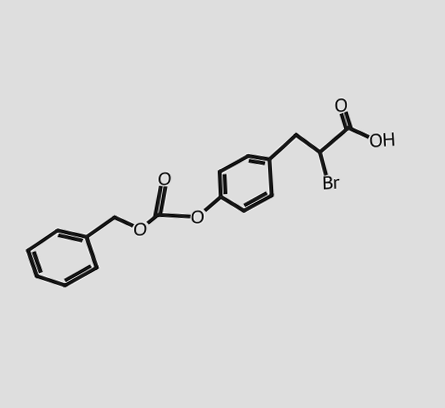 O=C(OCc1ccccc1)Oc1ccc(CC(Br)C(=O)O)cc1